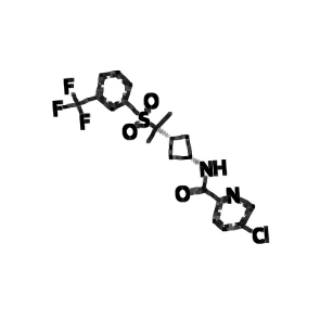 CC(C)([C@H]1C[C@@H](NC(=O)c2ccc(Cl)cn2)C1)S(=O)(=O)c1cccc(C(F)(F)F)c1